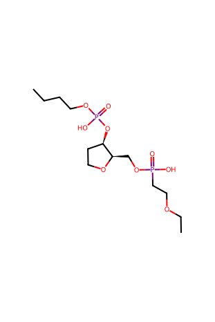 CCCCOP(=O)(O)O[C@@H]1CCO[C@@H]1COP(=O)(O)CCOCC